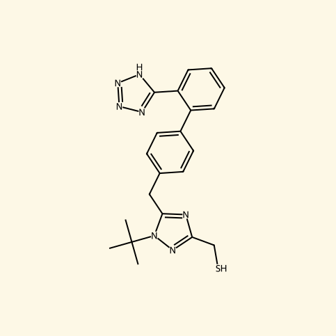 CC(C)(C)n1nc(CS)nc1Cc1ccc(-c2ccccc2-c2nnn[nH]2)cc1